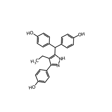 CCc1c(-c2ccc(O)cc2)n[nH]c1C(c1ccc(O)cc1)c1ccc(O)cc1